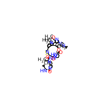 CCn1c(-c2cc(N3CCN(C4CC4)CC3)cnc2[C@H](C)OC)c2c3cc(ccc31)-c1csc(n1)C[C@H](NC(=O)C(C(C)C)N1CC[C@]3(CCN(C(=O)[C@@H]4NC4C4CC4)C3)C1)C(=O)N1CCC[C@H](N1)C(=O)OCC(C)(C)C2